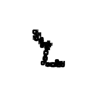 O=C1CCN(c2ccc(N3CC[C@H](C(=O)N4CCN(C5CCC(n6cc(NC(=O)c7coc(-c8ccnc(NCC(F)(F)F)c8)n7)c(C(F)F)n6)CC5)CC4)C3)cc2)C(=O)N1